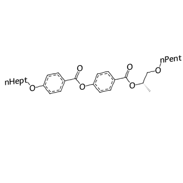 CCCCCCCOc1ccc(C(=O)Oc2ccc(C(=O)O[C@@H](C)COCCCCC)cc2)cc1